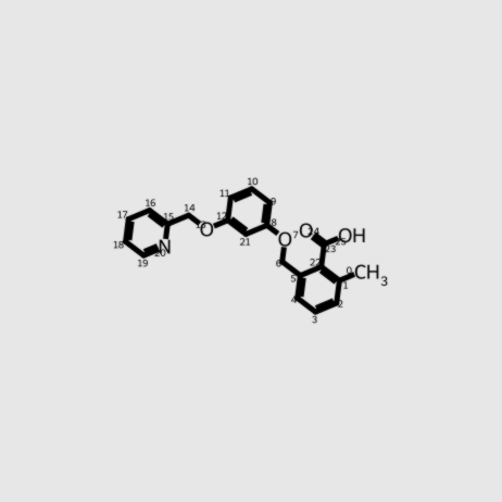 Cc1cccc(COc2cccc(OCc3ccccn3)c2)c1C(=O)O